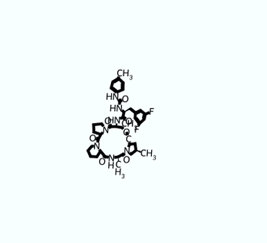 Cc1ccc(NC(=O)N[C@@H](Cc2cc(F)cc(F)c2)C(=O)N[C@@H]2C(=O)N3CCCC3C(=O)N3CCCCC3C(=O)N[C@@H](C)C(=O)N3C[C@H](C)CC3CO[C@H]2C)cc1